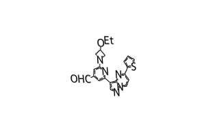 CCOC1CN(c2cc(C=O)cc(-c3cnn4ccc(-c5cccs5)nc34)n2)C1